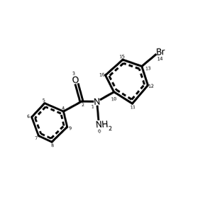 NN(C(=O)c1ccccc1)c1ccc(Br)cc1